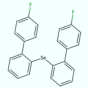 Fc1ccc(-c2ccccc2[Se]c2ccccc2-c2ccc(F)cc2)cc1